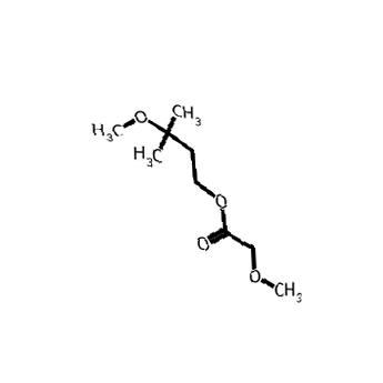 COCC(=O)OCCC(C)(C)OC